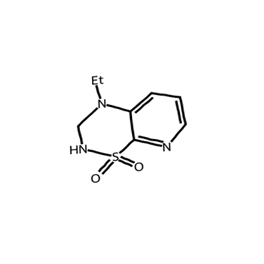 CCN1CNS(=O)(=O)c2ncccc21